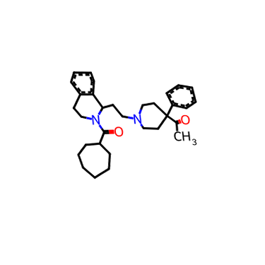 CC(=O)C1(c2ccccc2)CCN(CCC2c3ccccc3CCN2C(=O)C2CCCCCC2)CC1